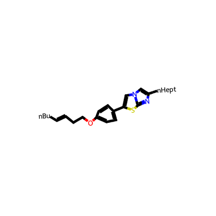 CCCCC=CCCOc1ccc(-c2cn3cc(CCCCCCC)nc3s2)cc1